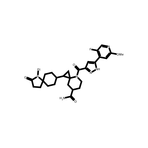 CCN1C(=O)CCC12CCC(C1CC13CC(C(N)=O)CCN3C(=O)c1cc(-c3cc(OC)ncc3F)[nH]n1)CC2